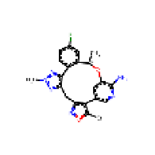 CCc1onc2c1-c1cnc(N)c(c1)O[C@H](C)c1cc(F)ccc1-c1nn(C)nc1C2